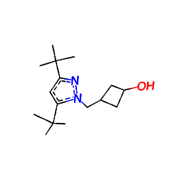 CC(C)(C)c1cc(C(C)(C)C)n(CC2CC(O)C2)n1